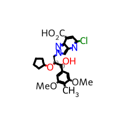 COc1cc([C@@H](O)[C@H](Cn2cc3nc(Cl)cc(C(=O)O)c3n2)OC2CCCC2)cc(OC)c1C